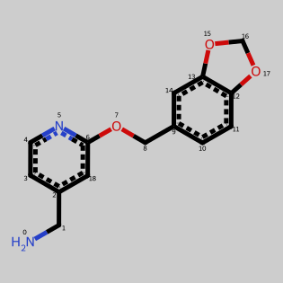 NCc1ccnc(OCc2ccc3c(c2)OCO3)c1